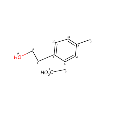 CC(=O)O.Cc1ccc(CCO)cc1